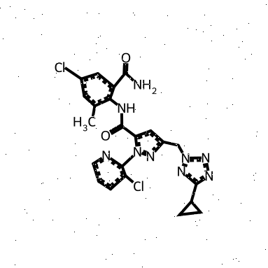 Cc1cc(Cl)cc(C(N)=O)c1NC(=O)c1cc(Cn2nnc(C3CC3)n2)nn1-c1ncccc1Cl